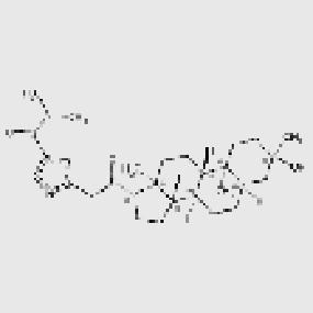 CN(C)C(=O)c1cnn(CC(=O)[C@H]2CC[C@H]3[C@@H]4CC[C@@H]5C[C@](C)(O)CC[C@]5(C)[C@H]4CC[C@]23C)c1